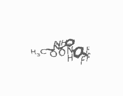 CCC(=O)N(N)C(=O)c1ccccc1Nc1ccc(C(F)(F)F)cc1